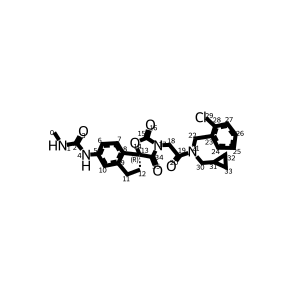 CNC(=O)Nc1ccc2c(c1)CC[C@@]21OC(=O)N(CC(=O)N(Cc2ccccc2Cl)CC2CC2)C1=O